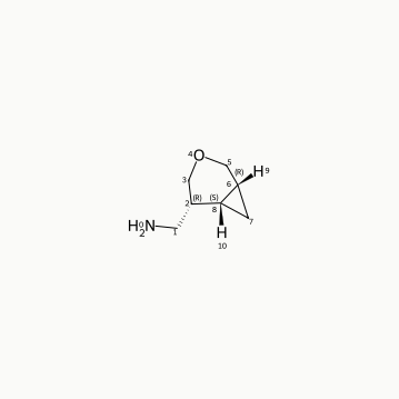 NC[C@@H]1COC[C@@H]2C[C@H]12